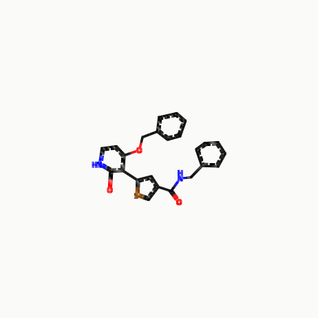 O=C(NCc1ccccc1)c1csc(-c2c(OCc3ccccc3)cc[nH]c2=O)c1